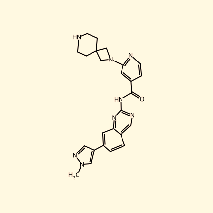 Cn1cc(-c2ccc3cnc(NC(=O)c4ccnc(N5CC6(CCNCC6)C5)c4)nc3c2)cn1